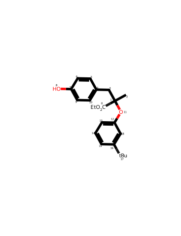 CCOC(=O)C(C)(Cc1ccc(O)cc1)Oc1cccc(C(C)(C)C)c1